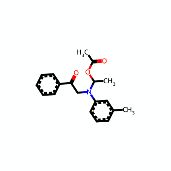 CC(=O)OC(C)N(CC(=O)c1ccccc1)c1cccc(C)c1